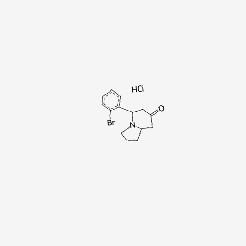 Cl.O=C1CC2CCCN2C(c2ccccc2Br)C1